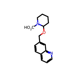 O=C(O)N1CCCCC1OCc1ccc2cccnc2c1